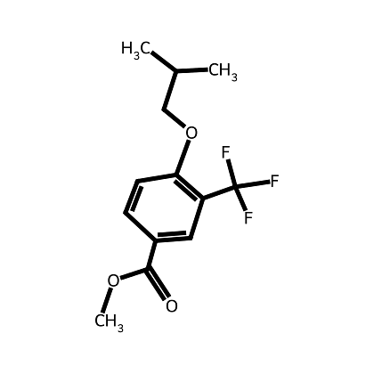 COC(=O)c1ccc(OCC(C)C)c(C(F)(F)F)c1